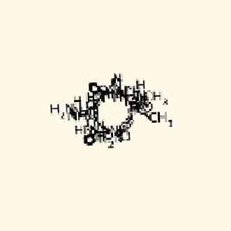 CCCC[C@@H]([C@H]1CSSC[C@@H](C(N)=O)NC(=O)[C@H](Cc2c[nH]c3ccccc23)NC(=O)[C@H](CCCNC(=N)N)NC(=O)[C@@H](Cc2ccccc2)NC(=O)[C@H](Cc2cnc[nH]2)NC(=O)[C@@H](C)NC1=O)N1C(=O)N[C@H](C)C1=O